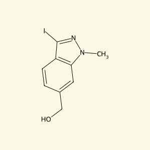 Cn1nc(I)c2ccc(CO)cc21